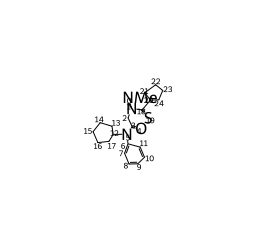 CNN(CC(=O)N(c1ccccc1)C1CCCCC1)C(=S)C1CCCC1